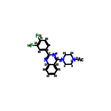 CC(=O)N1CCN(c2nc(-c3ccc(F)c(F)c3)nc3ccccc23)CC1